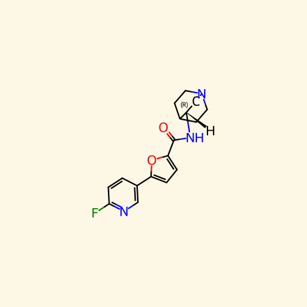 O=C(N[C@H]1CN2CCC1CC2)c1ccc(-c2ccc(F)nc2)o1